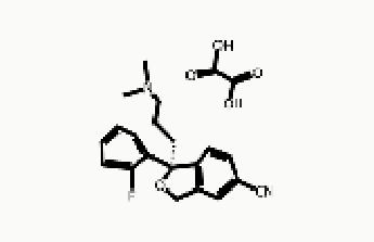 CN(C)CCC[C@@]1(c2ccccc2F)OCc2cc(C#N)ccc21.O=C(O)C(=O)O